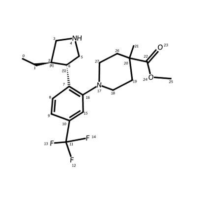 CC[C@H]1CNC[C@@H]1c1ccc(C(F)(F)F)cc1N1CCC(C)(C(=O)OC)CC1